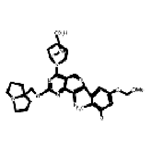 COCOc1cc(Cl)c(C(F)(F)F)c(-c2ncc3c(N4CC5CCC4CN5C(=O)O)nc(OCC45CCCN4CCC5)nc3c2F)c1